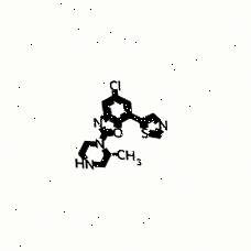 C[C@H]1CNCCN1c1nc2cc(Cl)cc(-c3cncs3)c2o1